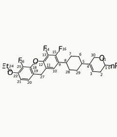 CCCC1CC=C(C2CCC(c3cc4c(c(F)c3F)Oc3c(ccc(OCC)c3F)C4)CC2)CO1